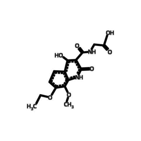 CCOc1ccc2c(O)c(C(=O)NCC(=O)O)c(=O)[nH]c2c1OC